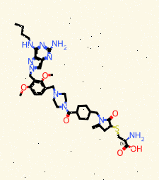 C=C1CC(SC[C@@H](N)C(=O)O)C(=O)N1CC1CCC(C(=O)N2CCN(Cc3ccc(OC)c(Cn4cc5nc(N)nc(NCCCC)c5n4)c3OC)CC2)CC1